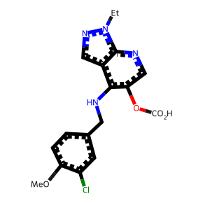 CCn1ncc2c(NCc3ccc(OC)c(Cl)c3)c(OC(=O)O)cnc21